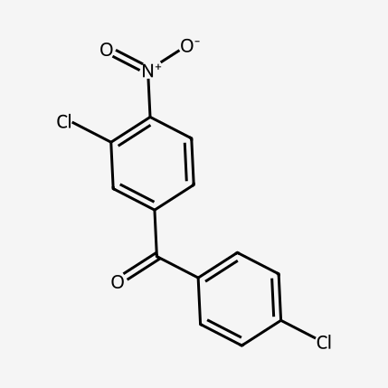 O=C(c1ccc(Cl)cc1)c1ccc([N+](=O)[O-])c(Cl)c1